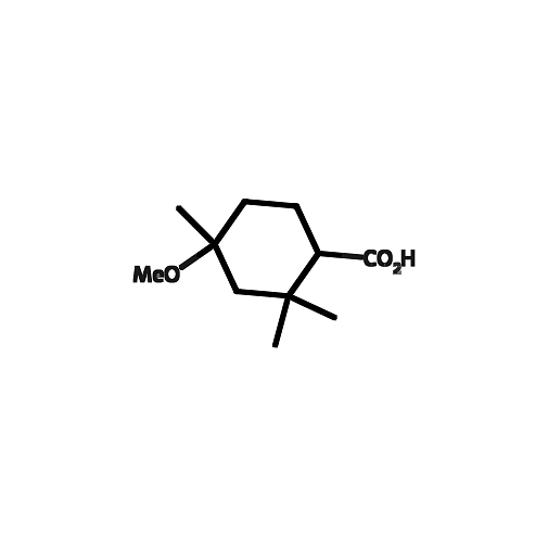 COC1(C)CCC(C(=O)O)C(C)(C)C1